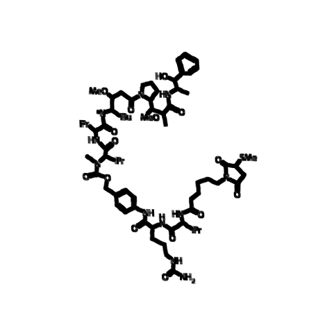 CCC(C)C(C(CC(=O)N1CCCC1C(OC)C(C)C(=O)NC(C)C(O)c1ccccc1)OC)N(C)C(=O)C(NC(=O)C(C(C)C)N(C)C(=O)OCc1ccc(NC(=O)C(CCCNC(N)=O)NC(=O)C(NC(=O)CCCCCN2C(=O)CC(SC)C2=O)C(C)C)cc1)C(C)C